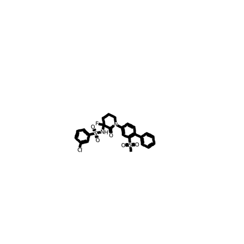 CS(=O)(=O)c1cc(N2CCCC(F)(NS(=O)(=O)c3cccc(Cl)c3)C2=O)ccc1-c1ccccc1